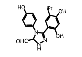 CC(C)c1cc(C2=NNC(C=O)N2c2ccc(O)cc2)c(O)cc1O